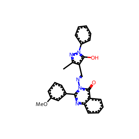 COc1cccc(-c2nc3ccccc3c(=O)n2N=Cc2c(C)nn(-c3ccccc3)c2O)c1